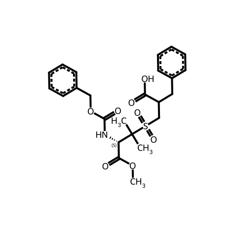 COC(=O)[C@H](NC(=O)OCc1ccccc1)C(C)(C)S(=O)(=O)CC(Cc1ccccc1)C(=O)O